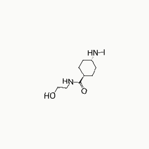 O=C(NCCO)[C@H]1CC[C@H](NI)CC1